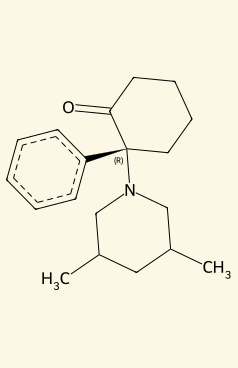 CC1CC(C)CN([C@@]2(c3ccccc3)CCCCC2=O)C1